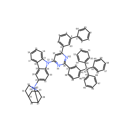 c1ccc(-c2cccc(-c3cc(-n4c5ccccc5c5cc(N6C7CC8CC(C7)CC6C8)ccc54)nc(-c4cccc([Si](c5ccccc5)(c5ccccc5)c5ccccc5)c4)n3)c2)cc1